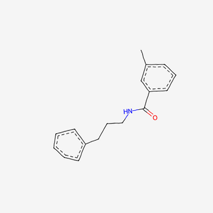 Cc1cccc(C(=O)NCCCc2ccccc2)c1